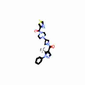 O=C(c1cscn1)N1CCN(C2CN(C(=O)c3cnn(-c4ccccc4)c3C(F)(F)F)C2)CC1